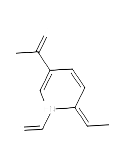 C\C=C(/C=C\C(=C/C)C(C)=O)NC=O